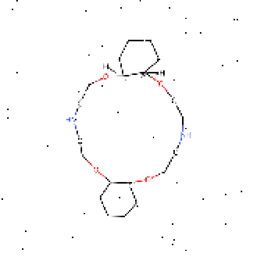 C1CCC2OCCNCCO[C@H]3CCCC[C@@H]3OCCNCCOC2C1